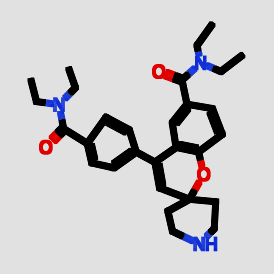 CCN(CC)C(=O)c1ccc(C2=CC3(CCNCC3)Oc3ccc(C(=O)N(CC)CC)cc32)cc1